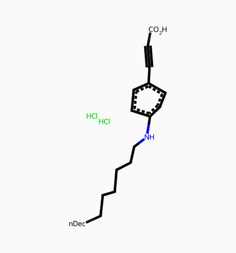 CCCCCCCCCCCCCCCCNc1ccc(C#CC(=O)O)cc1.Cl.Cl